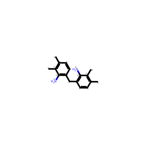 Cc1ccc(Cc2ccc(C)c(C)c2N)c(N)c1C